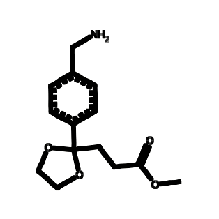 COC(=O)CCC1(c2ccc(CN)cc2)OCCO1